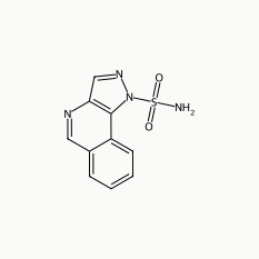 NS(=O)(=O)n1ncc2ncc3ccccc3c21